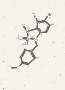 COc1ccc(CN2c3ccc(Br)c(F)c3N(C)S2(=O)=O)cc1